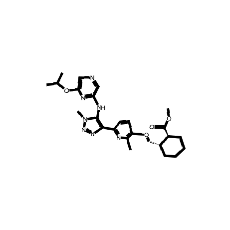 COC(=O)[C@H]1CCCC[C@@H]1COc1ccc(-c2nnn(C)c2Nc2cncc(OC(C)C)n2)nc1C